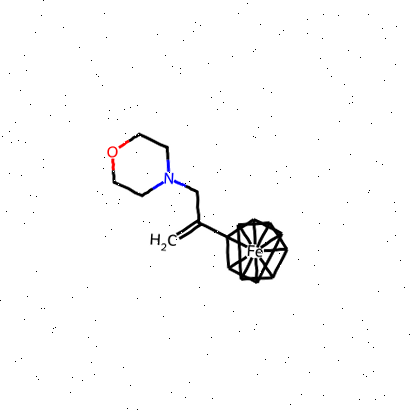 C=C(CN1CCOCC1)[C]12[CH]3[CH]4[CH]5[CH]1[Fe]45321678[CH]2[CH]1[CH]6[CH]7[CH]28